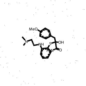 COc1ccc(CC(O)(Sc2ccccc2NCCN(C)C)C(N)=O)cc1